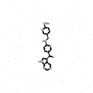 COc1ccc(CNc2ccc(C(=O)c3c[nH]c4ncncc34)cn2)cn1